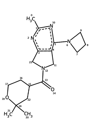 Cc1nc2c(c(N3CCC3)n1)CN(C(=O)C1CCOC(C)(C)C1)C2